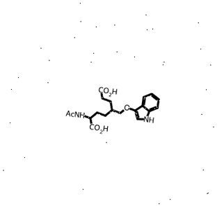 CC(=O)NC(CCC(CCC(=O)O)COc1c[nH]c2ccccc12)C(=O)O